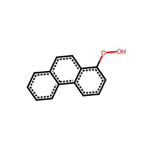 OOc1cccc2c1ccc1ccccc12